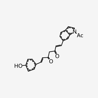 CC(=O)n1ccc2ccc(C=CC(=O)CC(=O)C=Cc3ccc(O)cc3)cc21